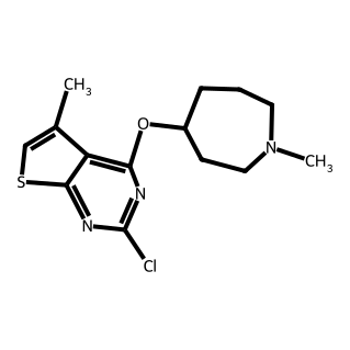 Cc1csc2nc(Cl)nc(OC3CCCN(C)CC3)c12